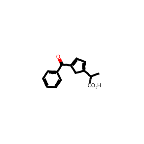 CC(C(=O)O)C1=CC=C(C(=O)c2ccccc2)C1